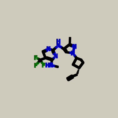 C#CC[C@H]1CCC(n2cc(Nc3ncc(C(F)(F)F)c(NC)n3)c(C)n2)C1